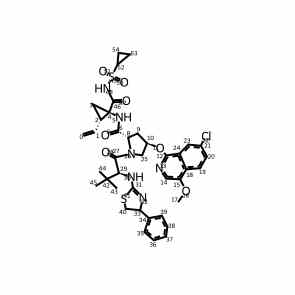 C=C[C@@H]1C[C@]1(NC(=O)[C@@H]1C[C@@H](Oc2ncc(OC)c3ccc(Cl)cc23)CN1C(=O)[C@@H](NC1=NC(c2ccccc2)CS1)C(C)(C)C)C(=O)NS(=O)(=O)C1CC1